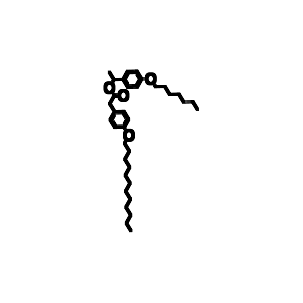 CCCCCCCCCCCCOc1ccc(CC(=O)OC(C)c2ccc(OCCCCCCC)cc2)cc1